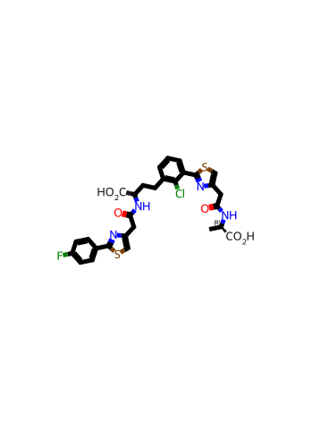 C[C@@H](NC(=O)Cc1csc(-c2cccc(CCC(NC(=O)Cc3csc(-c4ccc(F)cc4)n3)C(=O)O)c2Cl)n1)C(=O)O